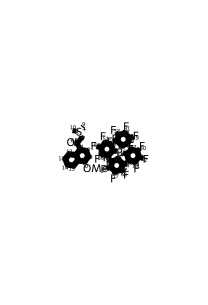 COc1ccc(C(=O)C[S+](C)C)c2ccccc12.Fc1c(F)c(F)c([B-](c2c(F)c(F)c(F)c(F)c2F)(c2c(F)c(F)c(F)c(F)c2F)c2c(F)c(F)c(F)c(F)c2F)c(F)c1F